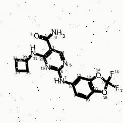 NC(=O)c1cnc(Nc2ccc3c(c2)OC(F)(F)O3)nc1NC1CCC1